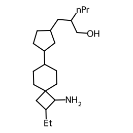 CCCC(CO)CC1CCC(C2CCC3(CC2)CC(CC)C3N)C1